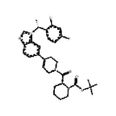 C[C@H](c1ccc(Cl)cc1Cl)n1cnc2ccc(C3=CCN(C(=O)C4CCCCN4C(=O)OC(C)(C)C)CC3)cc21